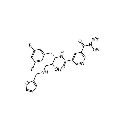 CCCN(CCC)C(=O)c1cncc(C(=O)N[C@@H](Cc2cc(F)cc(F)c2)[C@H](O)CNCc2ccco2)c1